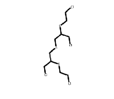 ClCCSC(CCl)CSCC(CCl)SCCCl